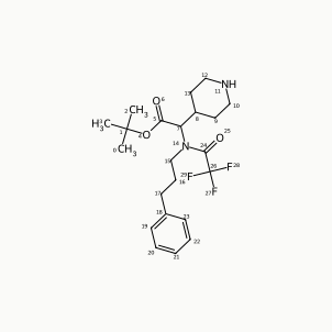 CC(C)(C)OC(=O)C(C1CCNCC1)N(CCCc1ccccc1)C(=O)C(F)(F)F